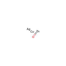 [Ag].[Cu].[O]=[Zn]